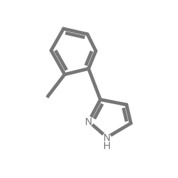 Cc1ccccc1-c1cc[nH]n1